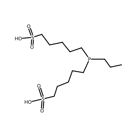 CCCP(CCCCCS(=O)(=O)O)CCCCCS(=O)(=O)O